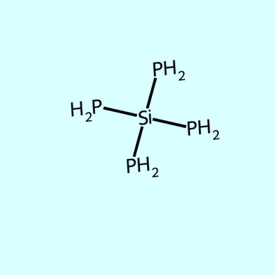 P[Si](P)(P)P